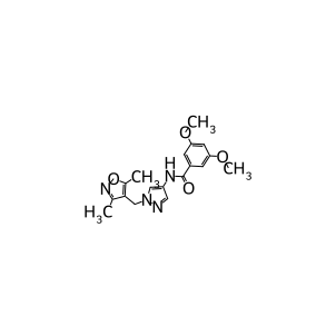 COc1cc(OC)cc(C(=O)Nc2cnn(Cc3c(C)noc3C)c2)c1